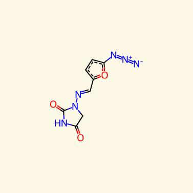 [N-]=[N+]=Nc1ccc(/C=N/N2CC(=O)NC2=O)o1